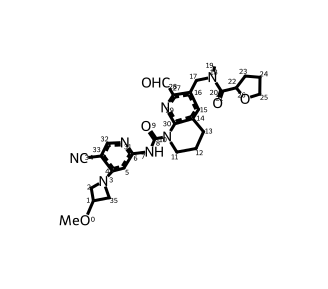 COC1CN(c2cc(NC(=O)N3CCCc4cc(CN(C)C(=O)C5CCCO5)c(C=O)nc43)ncc2C#N)C1